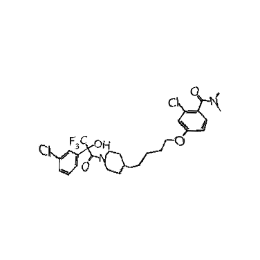 CN(C)C(=O)c1ccc(OCCCCC2CCN(C(=O)C(O)(c3cccc(Cl)c3)C(F)(F)F)CC2)cc1Cl